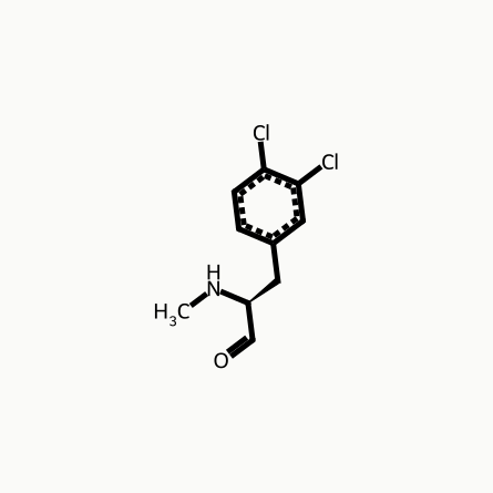 CN[C@H](C=O)Cc1ccc(Cl)c(Cl)c1